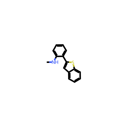 CNc1ccccc1-c1cc2ccccc2s1